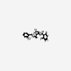 C=C(NCc1ccccc1Cl)c1n[nH]cc1NC(=O)c1c(F)cccc1F